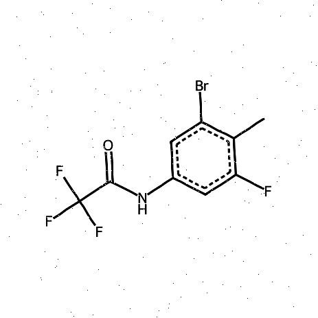 Cc1c(F)cc(NC(=O)C(F)(F)F)cc1Br